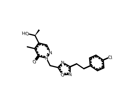 Cc1c([C@H](C)O)cnn(Cc2nc(CCc3ccc(Cl)cc3)no2)c1=O